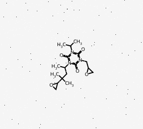 CC(C)n1c(=O)n(CC2CO2)c(=O)n(C(C)CC(C)(C)C2CO2)c1=O